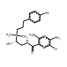 CCC[C@@H](CNC(=O)c1nc(Cl)c(N)nc1N)[N+](C)(C)CCCc1ccc(O)cc1